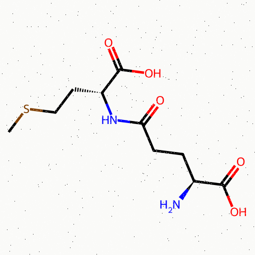 CSCC[C@@H](NC(=O)CC[C@H](N)C(=O)O)C(=O)O